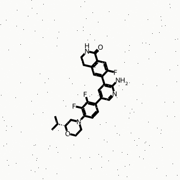 CC(C)[C@@H]1CN(c2ccc(-c3cnc(N)c(-c4cc5c(cc4F)C(=O)NCC5)c3)c(F)c2F)CCO1